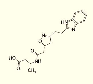 C[C@H](CC(=O)O)NC(=O)C[C@H]1CC(CCc2nc3ccccc3[nH]2)=NO1